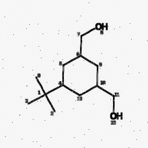 CC(C)(C)C1CC(CO)CC(CO)C1